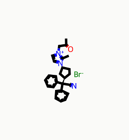 CC(=O)C[n+]1ccn([C@@H]2CC[C@@H](C(C#N)(c3ccccc3)c3ccccc3)C2)c1C.[Br-]